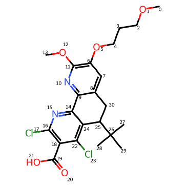 COCCCOc1cc2c(nc1OC)-c1nc(Cl)c(C(=O)O)c(Cl)c1C(C(C)(C)C)C2